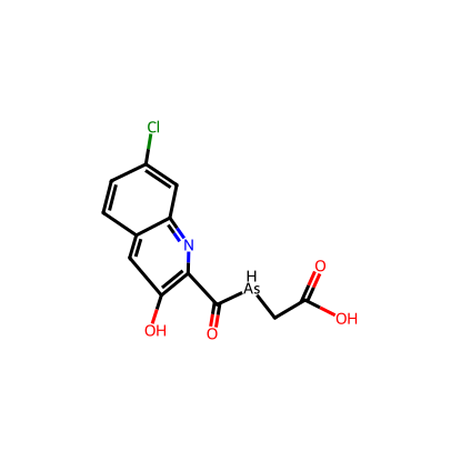 O=C(O)C[AsH]C(=O)c1nc2cc(Cl)ccc2cc1O